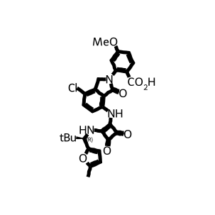 COc1ccc(C(=O)O)c(N2Cc3c(Cl)ccc(Nc4c(N[C@@H](c5ccc(C)o5)C(C)(C)C)c(=O)c4=O)c3C2=O)c1